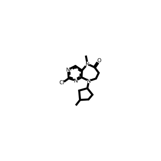 CC1CCC(N2CCC(=O)N(C)c3cnc(Cl)nc32)C1